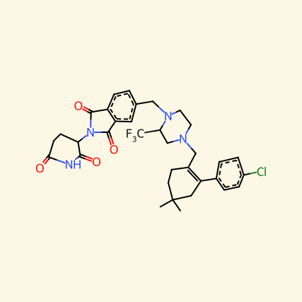 CC1(C)CCC(CN2CCN(Cc3ccc4c(c3)C(=O)N(C3CCC(=O)NC3=O)C4=O)C(C(F)(F)F)C2)=C(c2ccc(Cl)cc2)C1